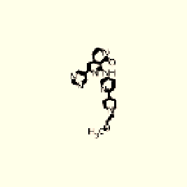 COCCN1CCC(c2ccc(Nc3nc(-c4cncnc4)cc4c3C(=O)[N]C=C4)cn2)CC1